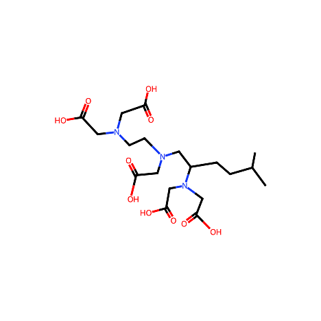 CC(C)CCC(CN(CCN(CC(=O)O)CC(=O)O)CC(=O)O)N(CC(=O)O)CC(=O)O